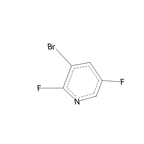 Fc1cnc(F)c(Br)c1